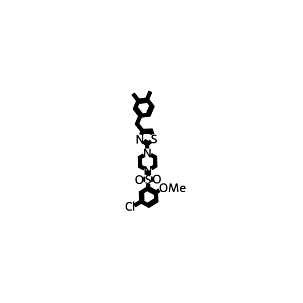 COc1ccc(Cl)cc1S(=O)(=O)N1CCN(c2nc(Cc3ccc(C)c(C)c3)cs2)CC1